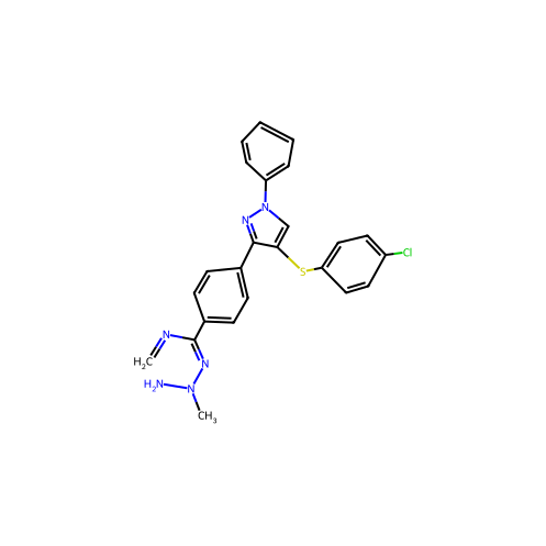 C=N/C(=N\N(C)N)c1ccc(-c2nn(-c3ccccc3)cc2Sc2ccc(Cl)cc2)cc1